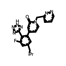 CC(C)Cc1cc(F)c(-c2nn[nH]n2)c(-c2ccn(Cc3cccnn3)c(=O)c2)c1